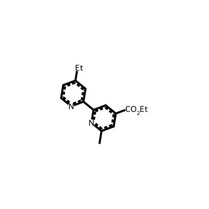 CCOC(=O)c1cc(C)nc(-c2cc(CC)ccn2)c1